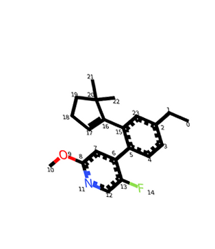 CCc1ccc(-c2cc(OC)ncc2F)c(C2=CCCC2(C)C)c1